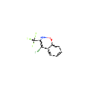 FC(F)(F)C1=C(Cl)c2ccccc2ON1